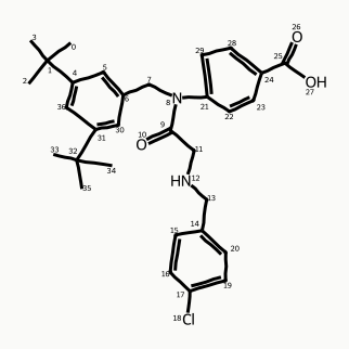 CC(C)(C)c1cc(CN(C(=O)CNCc2ccc(Cl)cc2)c2ccc(C(=O)O)cc2)cc(C(C)(C)C)c1